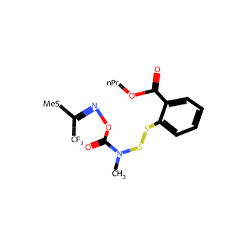 CCCOC(=O)c1ccccc1SSN(C)C(=O)ON=C(SC)C(F)(F)F